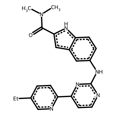 CCc1ccc(-c2ccnc(Nc3ccc4[nH]c(C(=O)N(C)C)cc4c3)n2)nc1